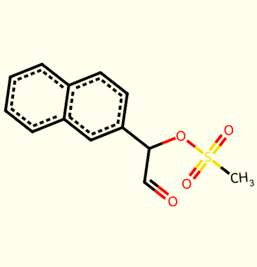 CS(=O)(=O)OC(C=O)c1ccc2ccccc2c1